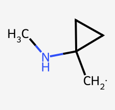 [CH2]C1(NC)CC1